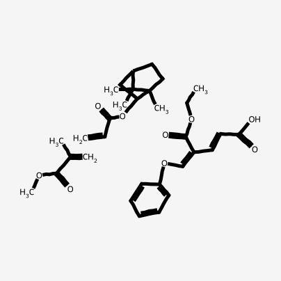 C=C(C)C(=O)OC.C=CC(=O)OC1CC2CCC1(C)C2(C)C.CCOC(=O)C(C=CC(=O)O)=COc1ccccc1